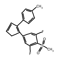 Cc1ccc(C2=C(c3cc(F)c(S(C)(=O)=O)c(F)c3)CC=C2)cc1